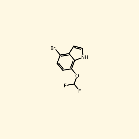 FC(F)Oc1ccc(Br)c2cc[nH]c12